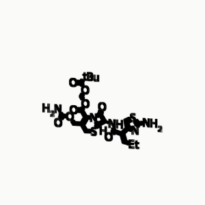 CCC=C(C(=O)N[C@@H]1C(=O)N2C(C(=O)OCOC(=O)C(C)(C)C)=C(COC(N)=O)CS[C@H]12)c1csc(N)n1